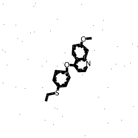 CCSc1ccc(Oc2ccnc3cc(OC)ccc23)cc1